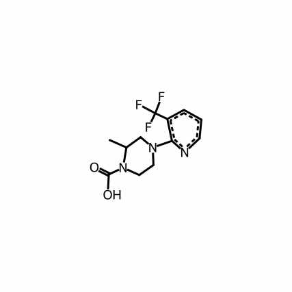 CC1CN(c2ncccc2C(F)(F)F)CCN1C(=O)O